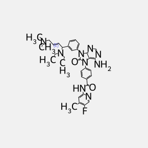 CCN(CC)C(/C=C/CN(C)C)c1cccc(-n2c(=O)n(-c3ccc(C(=O)Nc4cc(C)c(F)cn4)cc3)c3c(N)ncnc32)c1